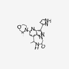 CC1NC(=O)Cn2nc(-c3cc[nH]n3)c3nc(N4CCOC[C@H]4C)cc1c32